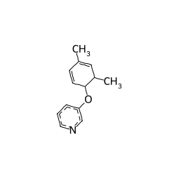 CC1=CC(C)C(Oc2cccnc2)C=C1